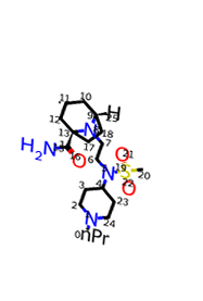 CCCN1CCC(N(CCN2[C@@H]3C[CH]C[C@@]2(C(N)=O)CC3)S(C)(=O)=O)CC1